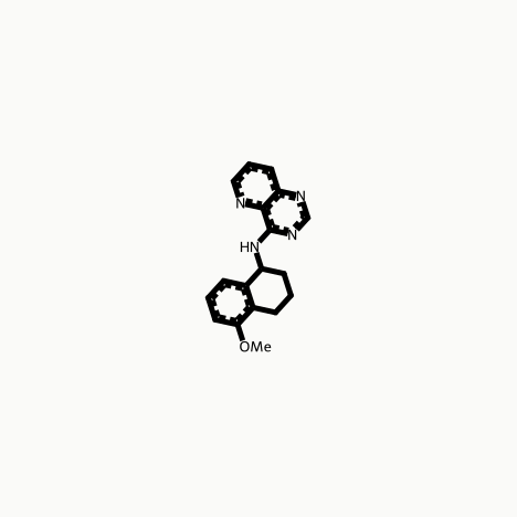 COc1cccc2c1CCCC2Nc1ncnc2cccnc12